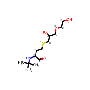 CC(C)(C)N[C@H](C=O)CCSCC(O)COCCO